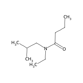 CCCC(=O)N(CC)CC(C)C